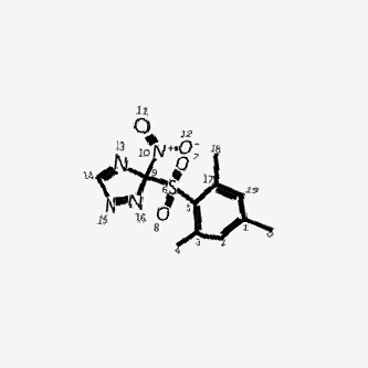 Cc1cc(C)c(S(=O)(=O)C2([N+](=O)[O-])N=CN=N2)c(C)c1